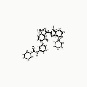 O=C(Nc1cncc(-c2cnc3[nH]nc(-c4nc5c(N6CCCCC6)nccc5[nH]4)c3c2F)c1)C1CCCCC1